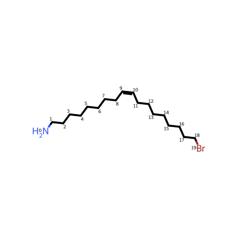 NCCCCCCCC/C=C\CCCCCCCCBr